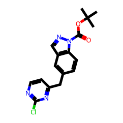 CC(C)(C)OC(=O)n1ncc2cc(Cc3ccnc(Cl)n3)ccc21